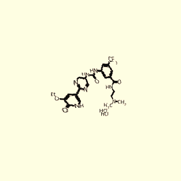 CCOc1cc(-c2ncc(NC(=O)Nc3cc(C(=O)NCCN(C)C)cc(C(F)(F)F)c3)cn2)c[nH]c1=O.Cl.Cl